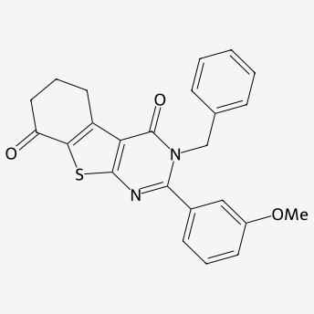 COc1cccc(-c2nc3sc4c(c3c(=O)n2Cc2ccccc2)CCCC4=O)c1